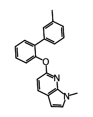 Cc1cccc(-c2ccccc2Oc2ccc3ccn(C)c3n2)c1